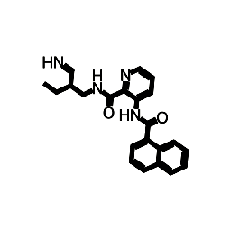 CCC(C=N)CNC(=O)c1ncccc1NC(=O)c1cccc2ccccc12